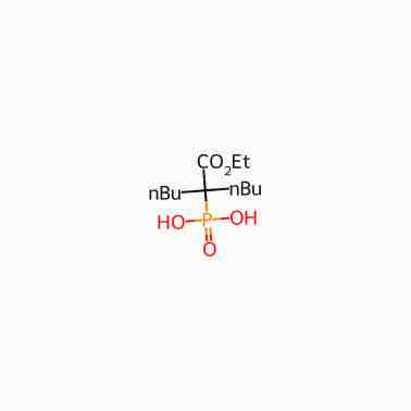 CCCCC(CCCC)(C(=O)OCC)P(=O)(O)O